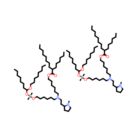 CCCCCCCCOC(CCCCCCC)O[Si](C)(C)OCCCCCCN(CCCCCCOC(=O)C(CCCCCC)CCCCCCCC)CCC1CCCN1C.CCCCCCCCOC(CCCCCCC)O[Si](C)(C)OCCCCCCN(CCCCCCOC(=O)C(CCCCCC)CCCCCCCC)CCC1CCCN1C